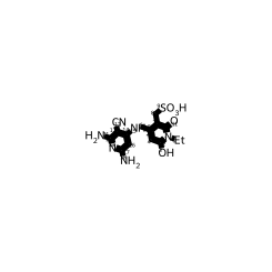 CCn1c(O)cc(C)c(CS(=O)(=O)O)c1=O.N#Cc1c(N)cc(N)nc1N